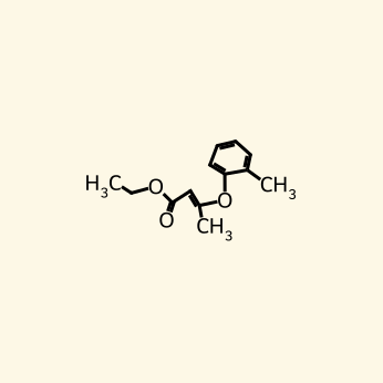 CCOC(=O)C=C(C)Oc1ccccc1C